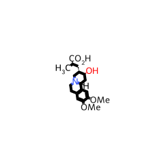 COc1cc2c(cc1OC)[C@@H]1C[C@@H](O)[C@@H](C[C@H](C)C(=O)O)CN1CC2